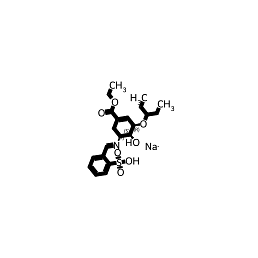 CCOC(=O)C1=C[C@@H](OC(CC)CC)[C@@H](O)[C@H](N=Cc2ccccc2S(=O)(=O)O)C1.[Na]